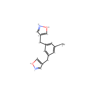 CC(C)(C)c1cc(Cc2cnoc2)cc(Cc2cnoc2)c1